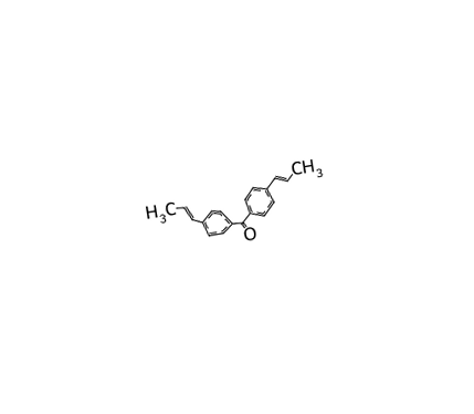 CC=Cc1ccc(C(=O)c2ccc(C=CC)cc2)cc1